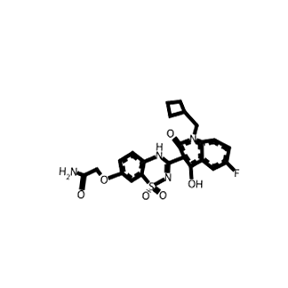 NC(=O)COc1ccc2c(c1)S(=O)(=O)N=C(c1c(O)c3cc(F)ccc3n(CC3CCC3)c1=O)N2